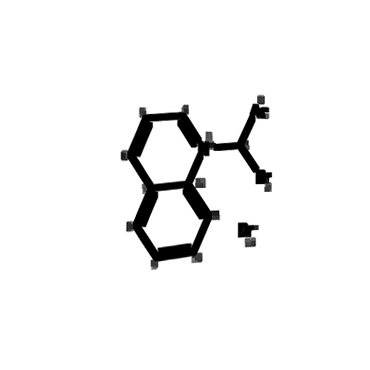 CC(=O)C(Br)[n+]1cccc2ccccc21.[Br-]